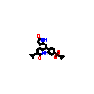 O=C1CC[C@H](CC(c2ccc(S(=O)(=O)C3CC3)cc2)c2ccc(C3CC3)c(=O)[nH]2)N1